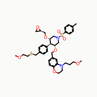 COCCCN1CCOc2ccc(CO[C@H]3CN(S(=O)(=O)c4ccc(C)cc4)C[C@@H](OC[C@H]4CO4)[C@@H]3c3ccc(CSCCOC)cc3)cc21